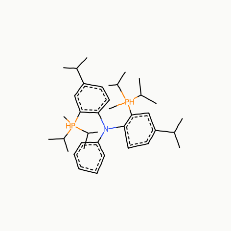 CC(C)c1ccc(N(c2ccccc2)c2ccc(C(C)C)cc2[PH](C)(C(C)C)C(C)C)c([PH](C)(C(C)C)C(C)C)c1